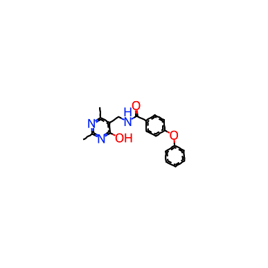 Cc1nc(C)c(CNC(=O)c2ccc(Oc3ccccc3)cc2)c(O)n1